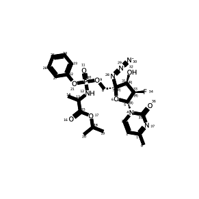 Cc1ccn([C@@H]2O[C@@](COP(=O)(NC(C)C(=O)OC(C)C)Oc3ccccc3)(N=[N+]=[N-])[C@@H](O)[C@H]2F)c(=O)n1